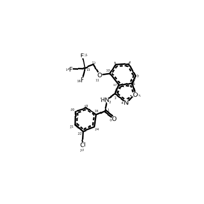 O=C(Nc1noc2cccc(OCC(F)(F)F)c12)c1cccc(Cl)c1